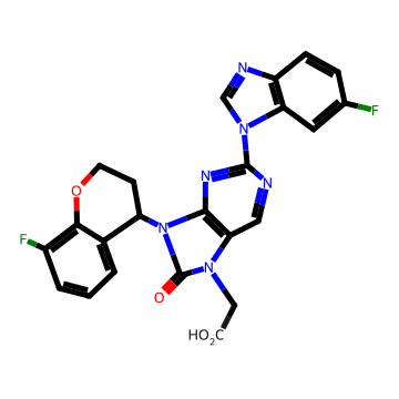 O=C(O)Cn1c(=O)n(C2CCOc3c(F)cccc32)c2nc(-n3cnc4ccc(F)cc43)ncc21